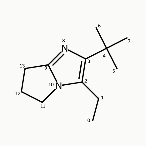 CCc1c(C(C)(C)C)nc2n1CCC2